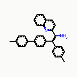 Cc1ccc(C(=C(N)c2ccc3ccccc3n2)c2ccc(-c3ccc(C)cc3)cc2)cc1